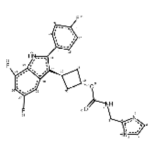 O=C(NCc1ncc[nH]1)O[C@H]1C[C@H](c2c(-c3ccc(F)cc3)[nH]c3c(F)cc(F)cc32)C1